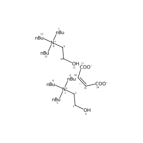 CCCC[N+](CCO)(CCCC)CCCC.CCCC[N+](CCO)(CCCC)CCCC.O=C([O-])/C=C\C(=O)[O-]